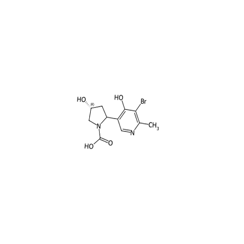 Cc1ncc(C2C[C@@H](O)CN2C(=O)O)c(O)c1Br